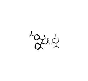 C/N=C(\c1ccc(N(C)C)cc1)N(CC(=O)O[C@@H]1C[C@H](C)CC[C@H]1C(C)C)c1ccccc1C